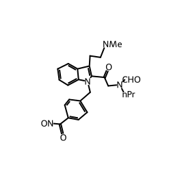 CCCN(C=O)CC(=O)c1c(CCNC)c2ccccc2n1Cc1ccc(C(=O)N=O)cc1